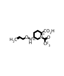 C=CCON[C@@H]1CC[C@@H](C(=O)O)N(C(=O)C(F)(F)F)C1